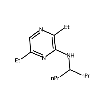 CCCC(CCC)Nc1nc(CC)cnc1CC